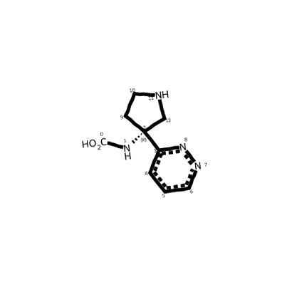 O=C(O)N[C@]1(c2cccnn2)CCNC1